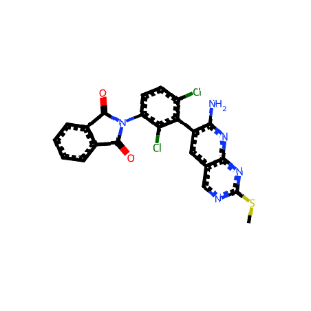 CSc1ncc2cc(-c3c(Cl)ccc(N4C(=O)c5ccccc5C4=O)c3Cl)c(N)nc2n1